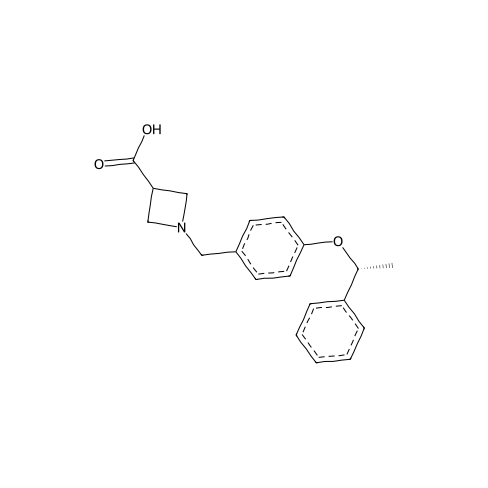 C[C@@H](Oc1ccc(CN2CC(C(=O)O)C2)cc1)c1ccccc1